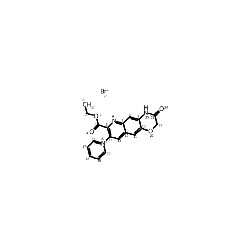 CCOC(=O)c1nc2cc3c(cc2cc1-[n+]1ccccc1)OCC(=O)N3.[Br-]